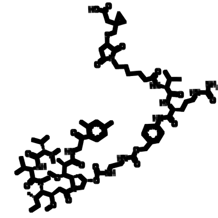 CC[C@H](C)[C@@H]([C@@H](CC(=O)N1C[C@@H](OC(=O)NCCNC(=O)OCc2ccc(NC(=O)[C@H](CCCNC(N)=O)NC(=O)[C@@H](NC(=O)CCCCCN3C(=O)CC(SCC4(CC(=O)O)CC4)C3=O)C(C)C)cc2)C[C@H]1[C@H](OC)[C@@H](C)C(=O)NCC(=O)c1ccc(C)cc1C)OC)N(C)C(=O)[C@@H](NC(=O)[C@H](C(C)C)N(C)C)C(C)C